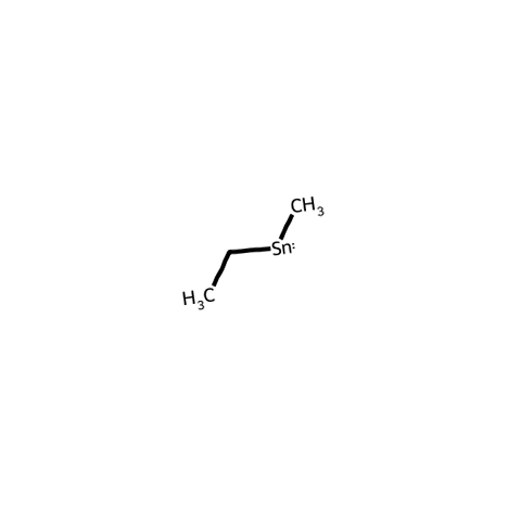 C[CH2][Sn][CH3]